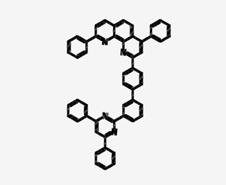 c1ccc(-c2cc(-c3ccccc3)nc(-c3cccc(-c4ccc(-c5cc(-c6ccccc6)c6ccc7ccc(-c8ccccc8)nc7c6n5)cc4)c3)n2)cc1